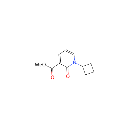 COC(=O)c1cccn(C2CCC2)c1=O